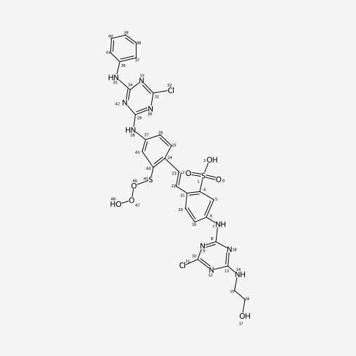 O=S(=O)(O)c1cc(Nc2nc(Cl)nc(NCCO)n2)ccc1/C=C/c1ccc(Nc2nc(Cl)nc(Nc3ccccc3)n2)cc1SOOO